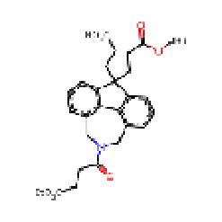 CCOC(=O)CCC(=O)N1Cc2cccc3c2-c2c(cccc2C3(CCC(=O)O)CCC(=O)OC(C)(C)C)C1